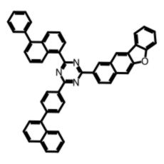 c1ccc(-c2cccc3c(-c4nc(-c5ccc(-c6cccc7ccccc67)cc5)nc(-c5ccc6cc7oc8ccccc8c7cc6c5)n4)cccc23)cc1